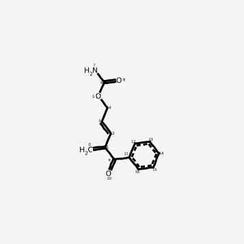 C=C(C=CCOC(N)=O)C(=O)c1ccccc1